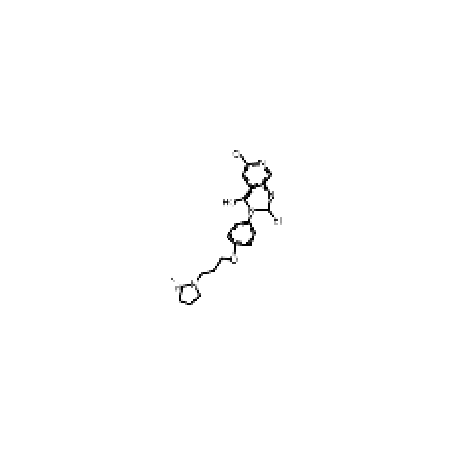 CCC1N=c2cnc(Cl)cc2=C(O)N1c1ccc(OCCCN2CCC[C@@H]2C)cc1